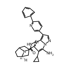 CCNC(=O)N1C2CC[C@@H]1CC(c1nc3c(-c4ccc(-c5ccccc5)nc4)cnn3c(N)c1C1CC1)C2